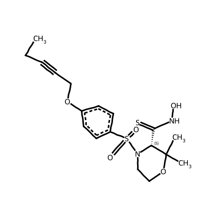 CCC#CCOc1ccc(S(=O)(=O)N2CCOC(C)(C)[C@H]2C(=S)NO)cc1